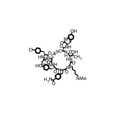 CNCCCCC[C@@H]1NC(=O)[C@@H](Cc2ccc(C(N)=O)cc2)NC(=O)[C@H](Cc2ccc(O)cc2)NC(=O)[C@H](NC(=O)[C@H](Cc2ccc(Cl)cc2)NC(=O)CNC(C)=O)CSSC[C@@H](C(=O)N[C@H](Cc2ccc(O)cc2)C(N)=O)NC(=O)[C@H]([C@@H](C)O)NC1=O